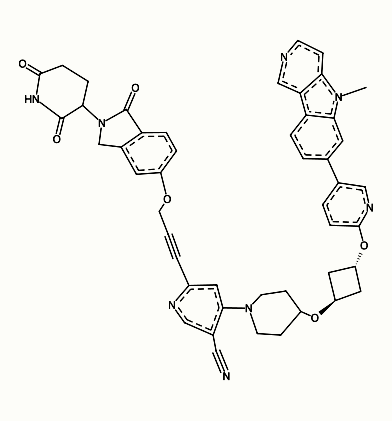 Cn1c2ccncc2c2ccc(-c3ccc(O[C@H]4C[C@H](OC5CCN(c6cc(C#CCOc7ccc8c(c7)CN(C7CCC(=O)NC7=O)C8=O)ncc6C#N)CC5)C4)nc3)cc21